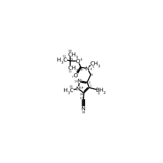 Bc1c(CN(C)C(=O)OC(C)(C)C)nn(C)c1C#N